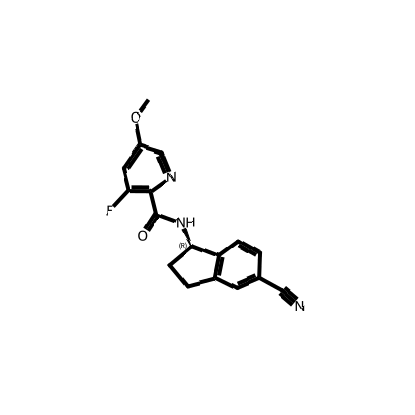 COc1cnc(C(=O)N[C@@H]2CCc3cc(C#N)ccc32)c(F)c1